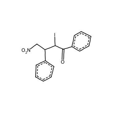 O=C(c1ccccc1)C(I)C(C[N+](=O)[O-])c1ccccc1